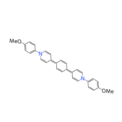 COc1ccc(N2C=CC(=c3ccc(=C4C=CN(c5ccc(OC)cc5)C=C4)cc3)C=C2)cc1